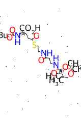 CC(C)(C)OC(=O)N[C@@H](CCC(=O)SCCNC(=O)CCNC(=O)[C@@H]1OC(C)(C)OCC1(C)C)C(=O)O